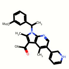 COc1cccc(C(C)n2c(C)c(C(=O)N=O)c3c(C)c(C4=CC=CNC4)cnc32)c1